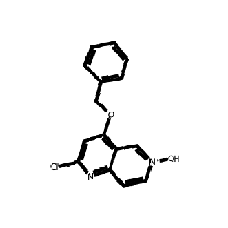 O[n+]1ccc2nc(Cl)cc(OCc3ccccc3)c2c1